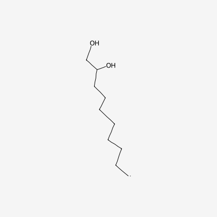 [CH2]CCCCCCCC(O)CO